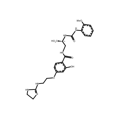 COc1ccccc1NC(=O)N[C@@H](CNC(=O)c1ccc(OCCNC2=NCCN2)cc1O)C(=O)O